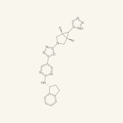 c1ccc2c(c1)CC[C@H]2Nc1ncc(-c2nnc(N3C[C@@H]4C(c5cnn[nH]5)[C@@H]4C3)o2)cn1